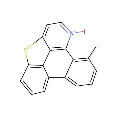 Cc1cccc2c3cccc4sc5cc[n+](I)c(c12)c5c43